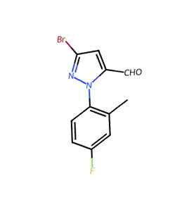 Cc1cc(F)ccc1-n1nc(Br)cc1C=O